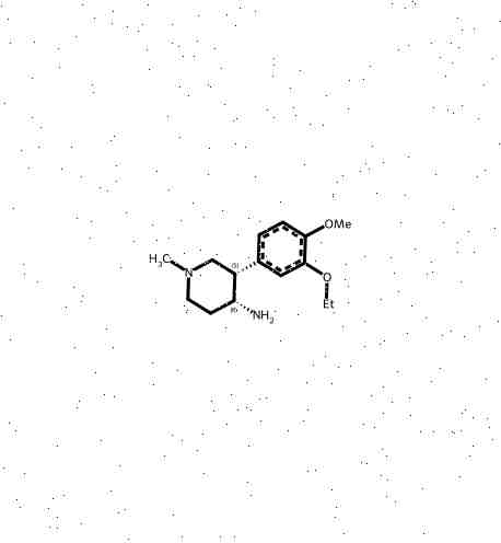 CCOc1cc([C@H]2CN(C)CC[C@H]2N)ccc1OC